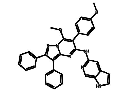 COc1ccc(-c2c(Nc3cc4cc[nH]c4cn3)nc3c(-c4ccccc4)c(-c4ccccc4)nn3c2OC)cc1